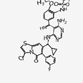 COc1ccc(C(=N)c2c(N)ncnc2N[C@H](c2cc3scc(Cl)n3c(=O)c2-c2cccc(F)c2)C2CC2)cc1NS(C)(=O)=O